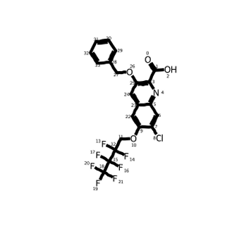 O=C(O)c1nc2cc(Cl)c(OCC(F)(F)C(F)(F)C(F)(F)F)cc2cc1OCc1ccccc1